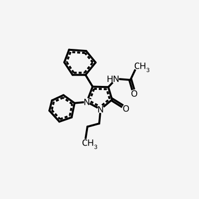 CCCn1c(=O)c(NC(C)=O)c(-c2ccccc2)n1-c1ccccc1